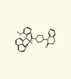 COc1ccccc1[C@H](c1cccc2ccccc12)[C@@](C)(C#N)C(=O)N1CCC(N2C(=O)CCc3ccccc32)CC1